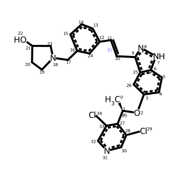 C[C@@H](Oc1ccc2[nH]nc(/C=C/c3cccc(CN4CCC(O)C4)c3)c2c1)c1c(Cl)cncc1Cl